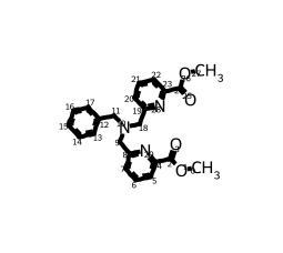 COC(=O)c1cccc(CN(Cc2ccccc2)Cc2cccc(C(=O)OC)n2)n1